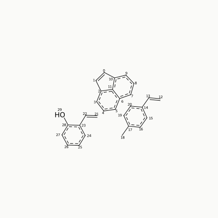 C1=Cc2cccc3cccc1c23.C=Cc1ccc(C)cc1.C=Cc1ccccc1O